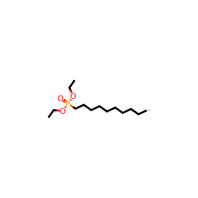 [CH2]CCCCCCCCCP(=O)(OCC)OCC